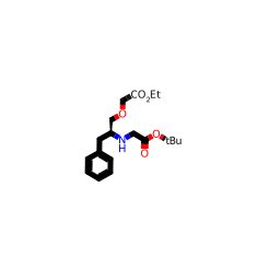 CCOC(=O)COC[C@H](Cc1ccccc1)NCC(=O)OC(C)(C)C